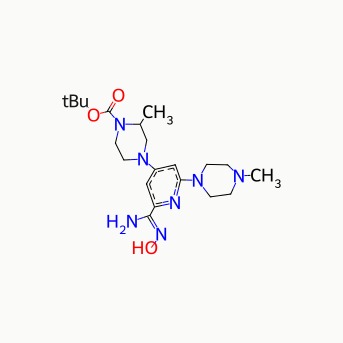 CC1CN(c2cc(/C(N)=N/O)nc(N3CCN(C)CC3)c2)CCN1C(=O)OC(C)(C)C